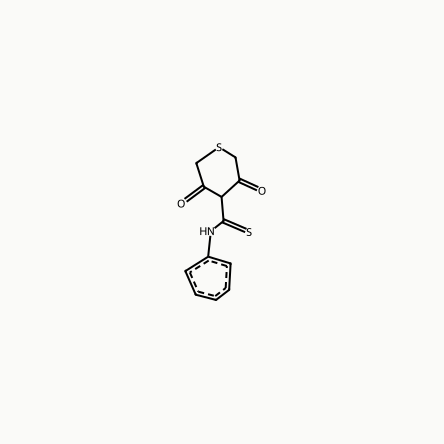 O=C1CSCC(=O)C1C(=S)Nc1ccccc1